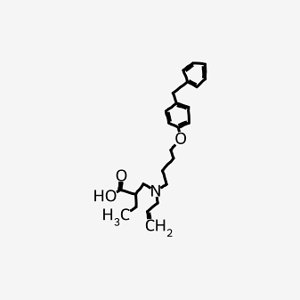 C=CCN(CCCCOc1ccc(Cc2ccccc2)cc1)CC(CC)C(=O)O